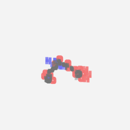 C[C@@H]1O[C@@H](OCCOC(=O)CC[C@H](NC(=O)CCCCC(=O)ON2C(=O)CCC2=O)C(N)=O)[C@@H](O)[C@H](O)[C@@H]1O